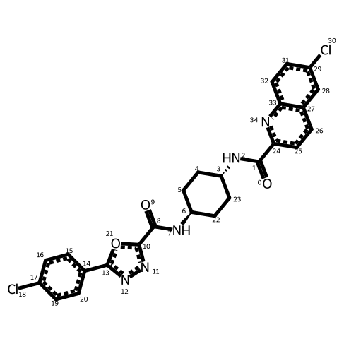 O=C(N[C@H]1CC[C@H](NC(=O)c2nnc(-c3ccc(Cl)cc3)o2)CC1)c1ccc2cc(Cl)ccc2n1